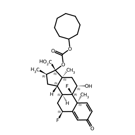 C[C@@H]1C[C@H]2[C@@H]3C[C@H](F)C4=CC(=O)C=C[C@]4(C)[C@@]3(F)[C@@H](O)C[C@]2(C)[C@]1(OC(=O)OC1CCCCCCC1)C(=O)O